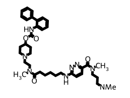 CNCCCN(C)C(=O)c1ccc(NCCCCCC(=O)N(C)CCN2CCC(OC(=O)Nc3ccccc3-c3ccccc3)CC2)nn1